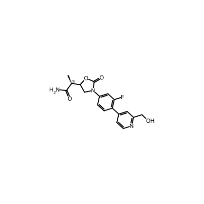 C[C@H](C(N)=O)C1CN(c2ccc(-c3ccnc(CO)c3)c(F)c2)C(=O)O1